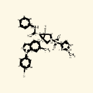 Cc1cc2c(cnn2-c2ccc(F)cc2)cc1[C@@]12CN(S(=O)(=O)c3cnn(C)n3)C[C@@H]1[C@H]2C(=O)Nc1ccccc1